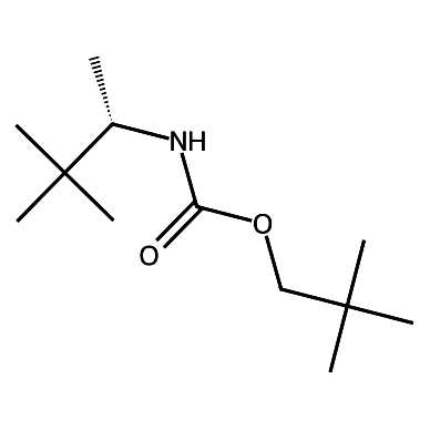 C[C@H](NC(=O)OCC(C)(C)C)C(C)(C)C